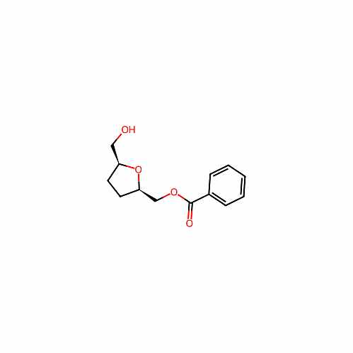 O=C(OC[C@H]1CC[C@@H](CO)O1)c1ccccc1